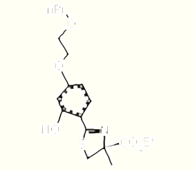 CCCOCCOc1ccc(C2=N[C@@](C)(C(=O)OCC)CS2)c(O)c1